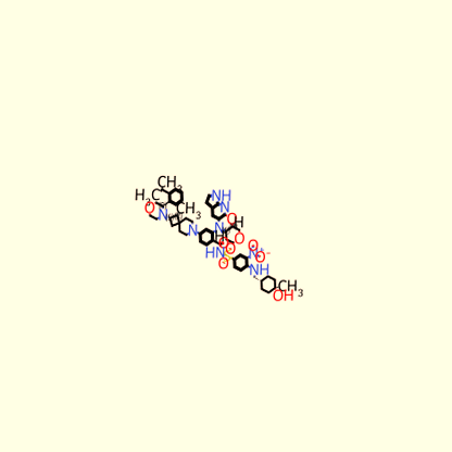 CC(C)c1ccccc1[C@@H]1COCCN1[C@H]1CC2(CCN(c3ccc(C(=O)NS(=O)(=O)c4ccc(NC[C@H]5CC[C@](C)(O)CC5)c([N+](=O)[O-])c4)c(N4c5cc6cc[nH]c6nc5O[C@H]5COCC[C@@H]54)c3)CC2)[C@H]1C